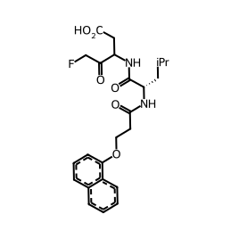 CC(C)C[C@H](NC(=O)CCOc1cccc2ccccc12)C(=O)NC(CC(=O)O)C(=O)CF